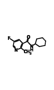 Cc1ncc(F)cc1C(=O)NC1CCCCC1